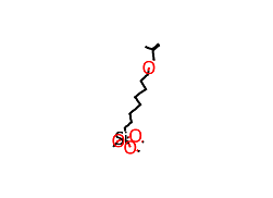 C=C(C)COCCCCCCCC[Si](OC)(OC)OC